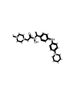 CC(c1ccc(Nc2ccc(N3CCCCC3)cc2)cc1)N(O)C(=O)CN1CCN(C)CC1